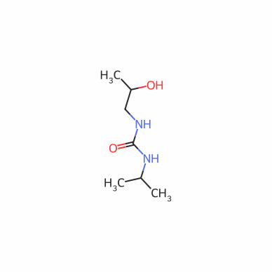 CC(O)CNC(=O)NC(C)C